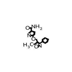 Cc1onc(-c2ccccc2)c1COc1ccc(C(N)=O)cn1